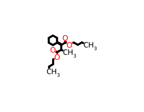 CCCCOC(=O)C(=C1CCCCC1)C(C)C(=O)OCCCC